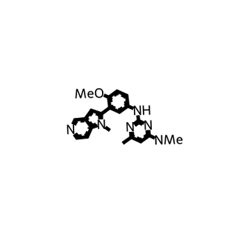 CNc1cc(C)nc(Nc2ccc(OC)c(-c3cc4cnccc4n3C)c2)n1